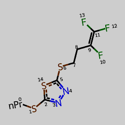 CCCSc1nnc(SCCC(F)=C(F)F)s1